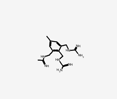 CC(=N)NCc1cc(C)cc(CNC(=N)N)c1CNC(=N)N